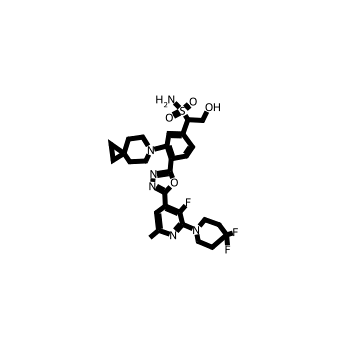 Cc1cc(-c2nnc(-c3ccc(C(CO)S(N)(=O)=O)cc3N3CCC4(CC3)CC4)o2)c(F)c(N2CCC(F)(F)CC2)n1